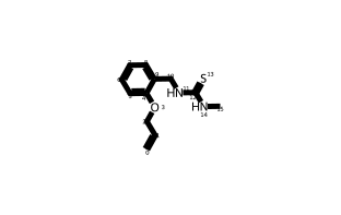 C=CCOc1ccccc1CNC(=S)NC